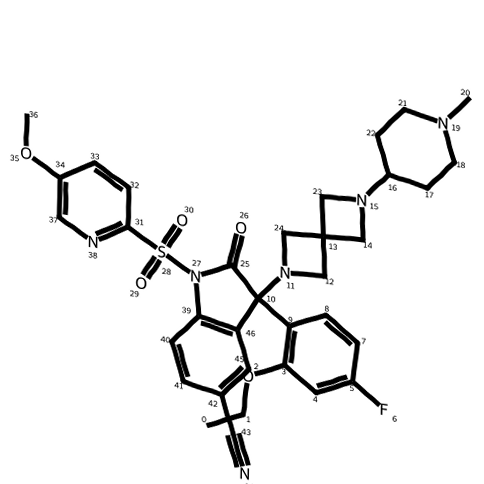 CCOc1cc(F)ccc1C1(N2CC3(CN(C4CCN(C)CC4)C3)C2)C(=O)N(S(=O)(=O)c2ccc(OC)cn2)c2ccc(C#N)cc21